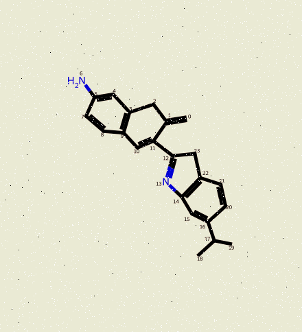 C=C1Cc2cc(N)ccc2C=C1C1=Nc2cc(C(C)C)ccc2C1